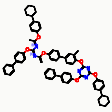 C=C(/N=C(\N=C(/C)Oc1ccc(C2CCCCC2)cc1)Oc1ccc(-c2ccccc2)cc1)Oc1ccc(-c2ccc(Oc3nc(Oc4ccc(-c5ccccc5)cc4)nc(Oc4ccc(C5CCCCC5)cc4)n3)c(C)c2)cc1